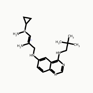 CC(C)(C)CNc1ncnc2ccc(NC/C(N)=C/N(N)C3CC3)cc12